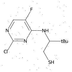 CC(C)(C)C(CS)Nc1nc(Cl)ncc1F